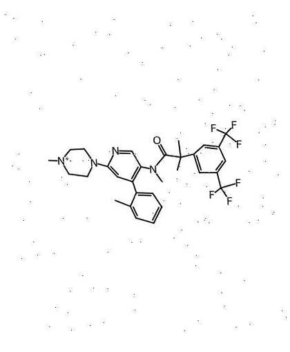 Cc1ccccc1-c1cc(N2CC[N+](C)CC2)ncc1N(C)C(=O)C(C)(C)c1cc(C(F)(F)F)cc(C(F)(F)F)c1